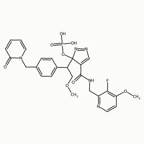 COCC(c1ccc(Cn2ccccc2=O)cc1)C1(OP(=O)(O)O)N=NC=C1C(=O)NCc1nccc(OC)c1F